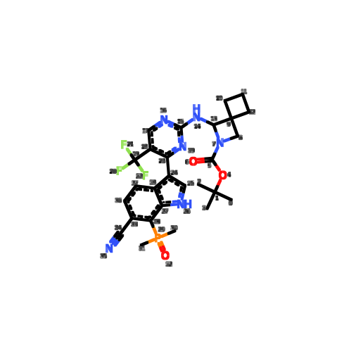 CC(C)(C)OC(=O)N1CC2(CCC2)C1Nc1ncc(C(F)(F)F)c(-c2c[nH]c3c(P(C)(C)=O)c(C#N)ccc23)n1